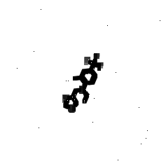 CCN(CC1COC=N1)c1ccc(C(F)(F)F)cc1C